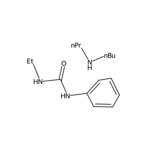 CCCCNCCC.CCNC(=O)Nc1ccccc1